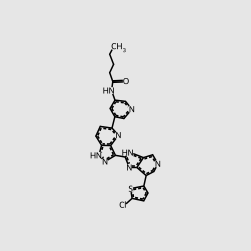 CCCCC(=O)Nc1cncc(-c2ccc3[nH]nc(-c4nc5c(-c6ccc(Cl)s6)cncc5[nH]4)c3n2)c1